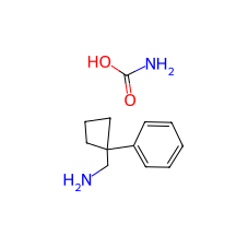 NC(=O)O.NCC1(c2ccccc2)CCC1